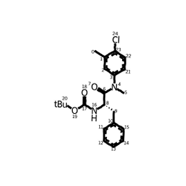 Cc1cc(N(C)C(=O)[C@H](Cc2ccccc2)NC(=O)OC(C)(C)C)ccc1Cl